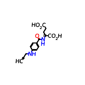 C#CCNc1ccc(C(=O)N[C@@H](CCC(=O)O)C(=O)O)cc1